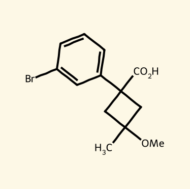 COC1(C)CC(C(=O)O)(c2cccc(Br)c2)C1